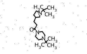 CC(C)(C)N1CCN(C(=O)CCC2CCN(C(C)(C)C)C2)CC1